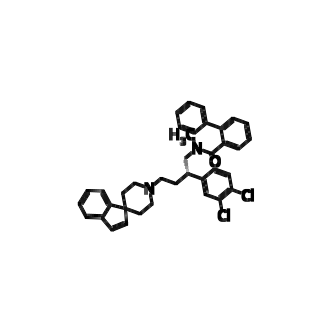 CN(C[C@@H](CCN1CCC2(C=Cc3ccccc32)CC1)c1ccc(Cl)c(Cl)c1)C(=O)c1ccccc1-c1ccccc1